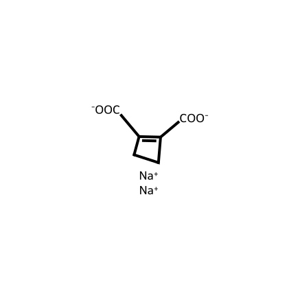 O=C([O-])C1=C(C(=O)[O-])CC1.[Na+].[Na+]